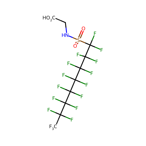 O=C(O)CNS(=O)(=O)C(F)(F)C(F)(F)C(F)(F)C(F)(F)C(F)(F)C(F)(F)C(F)(F)C(F)(F)F